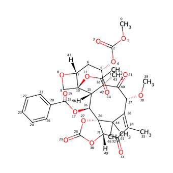 COC(=O)O[C@H]1C[C@H]2OC[C@@]2(OC(C)=O)[C@H]2[C@H](OC(=O)c3ccccc3)[C@]34OC(=O)O[C@H]3C(=O)C(C)=C([C@@H](OC)C(=O)[C@]12C)C4(C)C